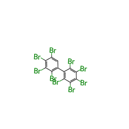 Brc1cc(-c2c(Br)c(Br)c(Br)c(Br)c2Br)c(Br)c(Br)c1Br